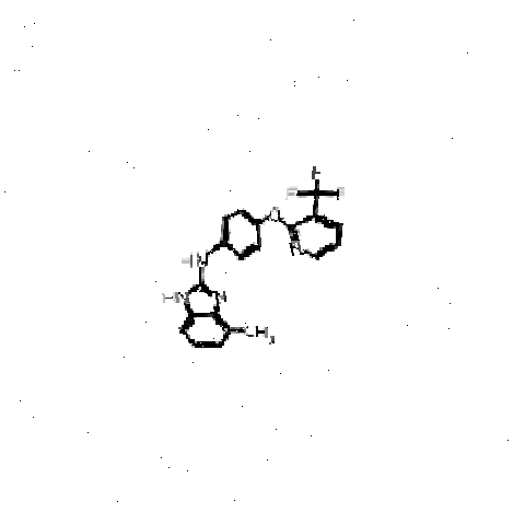 Cc1cccc2[nH]c(Nc3ccc(Oc4ncccc4C(F)(F)F)cc3)nc12